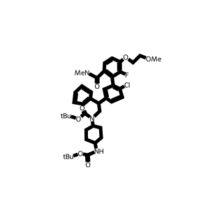 CNC(=O)c1ccc(OCCOC)c(F)c1-c1cc(C(CN(C(=O)OC(C)(C)C)C2CCC(NC(=O)OC(C)(C)C)CC2)c2ccccc2)ccc1Cl